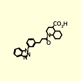 O=C(O)C1CCN(C(=O)CCc2cccc(-n3nnc4ccccc43)c2)C2CCCCC12